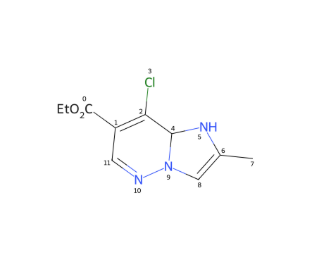 CCOC(=O)C1=C(Cl)C2NC(C)=CN2N=C1